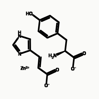 N[C@@H](Cc1ccc(O)cc1)C(=O)[O-].O=C([O-])C=Cc1c[nH]cn1.[Zn+2]